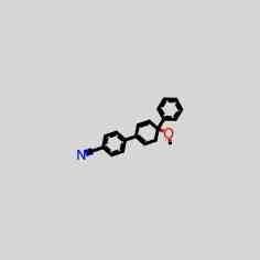 COC1(c2ccccc2)C=CC(c2ccc(C#N)cc2)=CC1